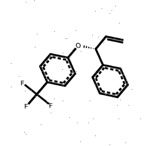 C=C[C@@H](Oc1ccc(C(F)(F)F)cc1)c1ccccc1